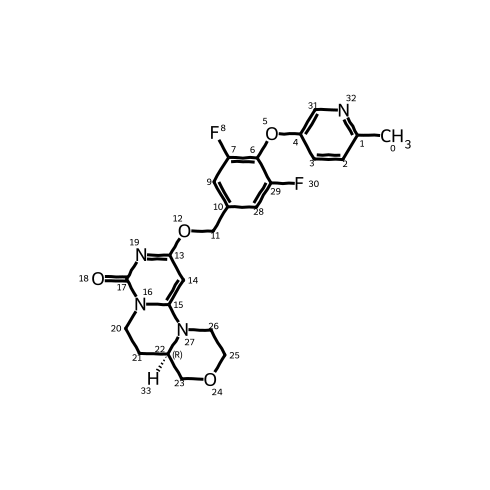 Cc1ccc(Oc2c(F)cc(COc3cc4n(c(=O)n3)CC[C@@H]3COCCN43)cc2F)cn1